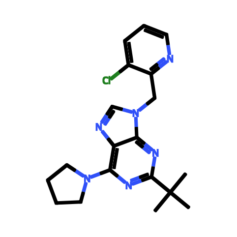 CC(C)(C)c1nc(N2CCCC2)c2ncn(Cc3ncccc3Cl)c2n1